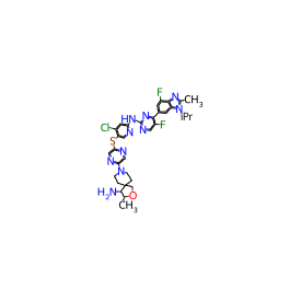 Cc1nc2c(F)cc(-c3nc(Nc4cc(Cl)c(Sc5cnc(N6CCC7(CC6)CO[C@@H](C)[C@H]7N)cn5)cn4)ncc3F)cc2n1C(C)C